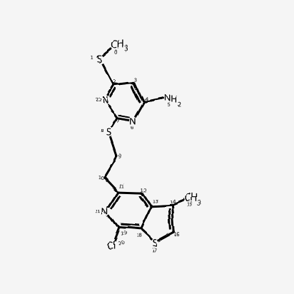 CSc1cc(N)nc(SCCc2cc3c(C)csc3c(Cl)n2)n1